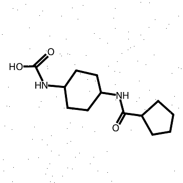 O=C(O)NC1CCC(NC(=O)C2CCCC2)CC1